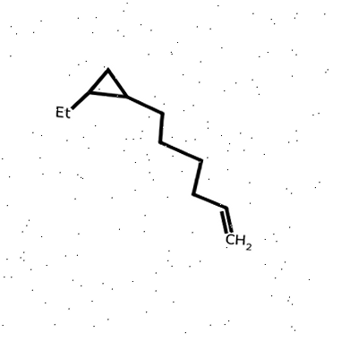 C=CCCCCC1CC1CC